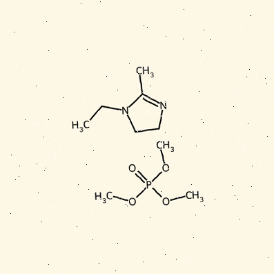 CCN1CCN=C1C.COP(=O)(OC)OC